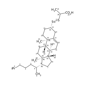 CC(C)CCCC(C)[C@H]1CC[C@H]2[C@@H]3CC=C4C[C@@H](SSC(C)C(=O)O)CC[C@]4(C)[C@H]3CC[C@]12C